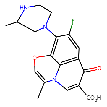 CC1=COc2c(N3CCNC(C)C3)c(F)cc3c(=O)c(C(=O)O)cn1c23